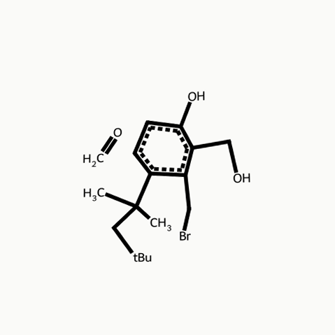 C=O.CC(C)(C)CC(C)(C)c1ccc(O)c(CO)c1CBr